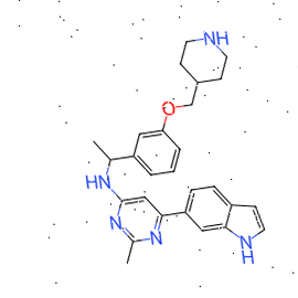 Cc1nc(NC(C)c2cccc(OCC3CCNCC3)c2)cc(-c2ccc3cc[nH]c3c2)n1